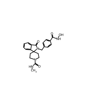 CNC(=O)N1CCC2(CC1)c1ccccc1C(=O)N2Cc1ccc(C(=O)NO)cc1